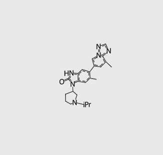 Cc1cc2c(cc1-c1cc(C)c3ncnn3c1)[nH]c(=O)n2C1CCCN(C(C)C)C1